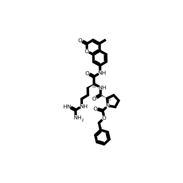 Cc1cc(=O)oc2cc(NC(=O)[C@H](CCCNC(=N)N)NC(=O)[C@@H]3CCCN3C(=O)OCc3ccccc3)ccc12